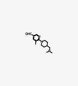 Cc1cc(C=O)cnc1N1CCC(CN(C)C)CC1